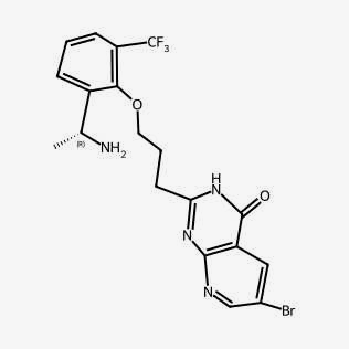 C[C@@H](N)c1cccc(C(F)(F)F)c1OCCCc1nc2ncc(Br)cc2c(=O)[nH]1